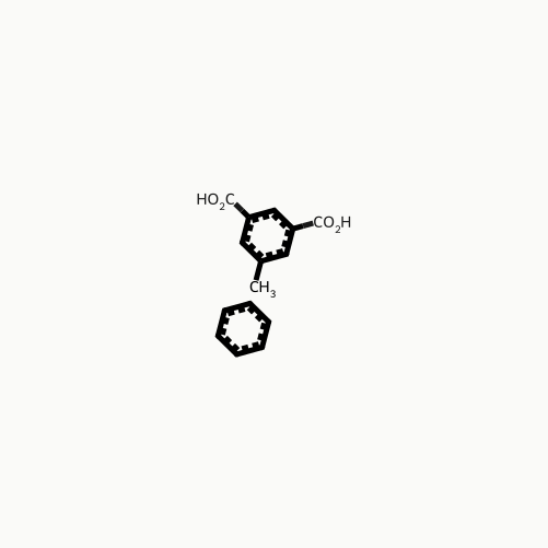 Cc1cc(C(=O)O)cc(C(=O)O)c1.c1ccccc1